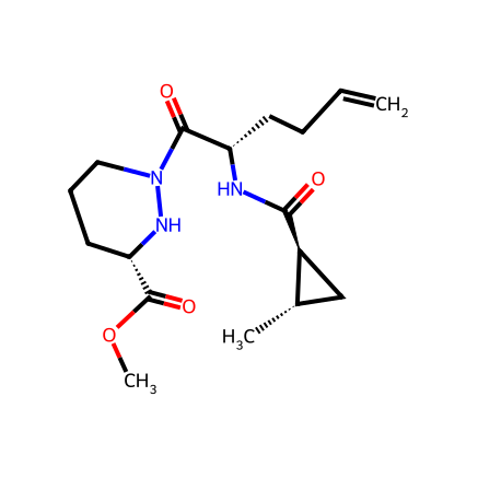 C=CCC[C@H](NC(=O)[C@H]1C[C@@H]1C)C(=O)N1CCC[C@@H](C(=O)OC)N1